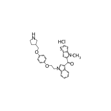 Cl.Cn1c(C(=O)c2cn(CCOc3ccc(OCC4CCNC4)cc3)c3ccccc23)cc2sccc21